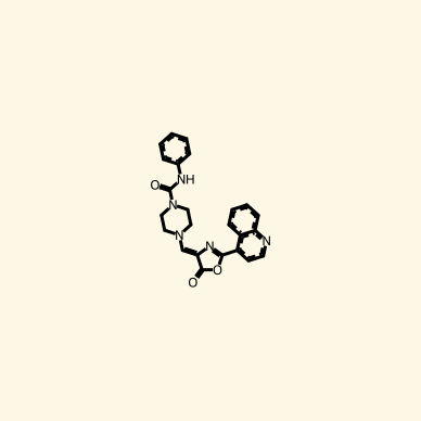 O=C1OC(c2ccnc3ccccc23)=NC1=CN1CCN(C(=O)Nc2ccccc2)CC1